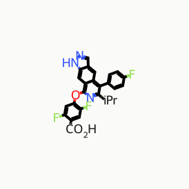 CC(C)c1nc(Oc2cc(F)c(C(=O)O)cc2F)c2cc3[nH]ncc3cc2c1-c1ccc(F)cc1